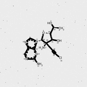 C[C@H](O)[C@H]1O[C@@H](n2cnc3cnc(N)nc32)[C@@](N)(C#CCl)C1O